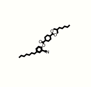 CCCCCCCc1ccc(OC(=O)C2CCC(C3OCC(CCCCC)CO3)CC2)c(C#N)c1